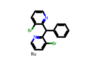 Brc1cccnc1C(c1ccccc1)c1ncccc1Br.[Ru]